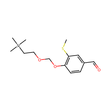 CSc1cc(C=O)ccc1OCOCC[Si](C)(C)C